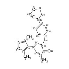 Cc1noc(C)c1-c1cc(N)c(=O)n(Cc2ccc(N3CCOCC3)cc2)c1